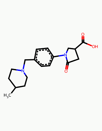 CC1CCN(Cc2ccc(N3CC(C(=O)O)CC3=O)cc2)CC1